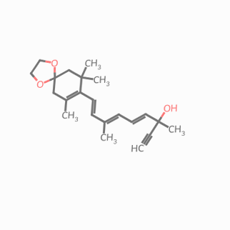 C#CC(C)(O)C=CC=C(C)C=CC1=C(C)CC2(CC1(C)C)OCCO2